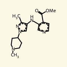 COC(=O)c1ccncc1Nc1cn(C2CCN(C)CC2)nc1C